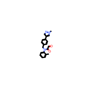 Cc1ccccc1N(Cc1ccc(-c2cnn(C)c2)cc1)C(=O)C=O